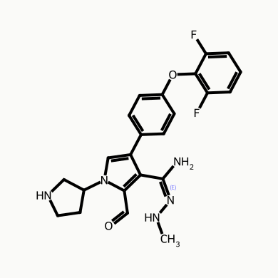 CN/N=C(/N)c1c(-c2ccc(Oc3c(F)cccc3F)cc2)cn(C2CCNC2)c1C=O